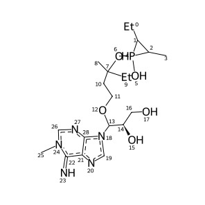 CCC1C(C)[PH]1(O)OC(C)(CC)CCOC([C@H](O)CO)n1cnc2c(=N)n(C)cnc21